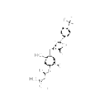 CN(C)CC(=O)Nc1cc(O)c(Cn2nc(-c3ccc(C(F)(F)F)cc3)oc2=O)cc1Cl